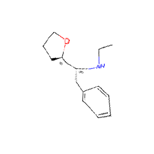 CCN[C@H](Cc1ccccc1)[C@H]1CCCO1